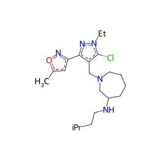 CCn1nc(-c2cc(C)on2)c(CN2CCCCC(NCCC(C)C)C2)c1Cl